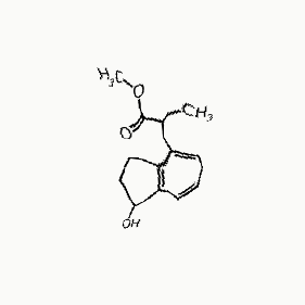 COC(=O)C(C)c1cccc2c1CCC2O